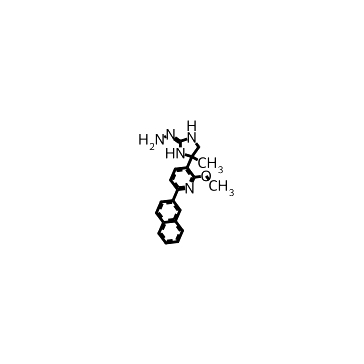 COc1nc(-c2ccc3ccccc3c2)ccc1C1(C)CN/C(=N/N)N1